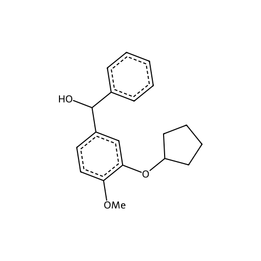 COc1ccc(C(O)c2ccccc2)cc1OC1CCCC1